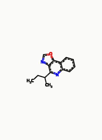 CCC(C)c1nc2ccccc2c2ocnc12